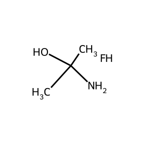 CC(C)(N)O.F